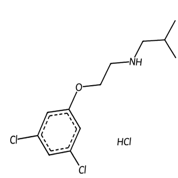 CC(C)CNCCOc1cc(Cl)cc(Cl)c1.Cl